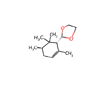 CC1=CC[C@@H](C)C(C)(C)[C@@H]1C1OCCO1